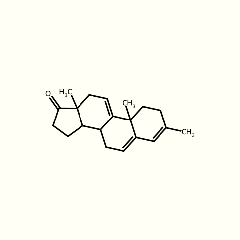 CC1=CC2=CCC3C(=CCC4(C)C(=O)CCC34)C2(C)CC1